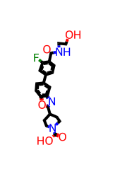 O=C(NCCO)c1ccc(-c2ccc3oc(C4CCN(C(=O)O)CC4)nc3c2)cc1F